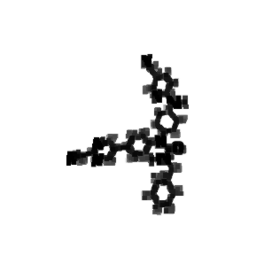 N#Cc1ccc(NC2CCC(N(C(=O)NCc3ccccc3)c3ccc(-c4cnc(C#N)nc4)cc3)CC2)nc1